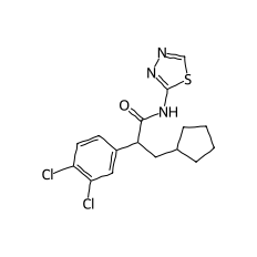 O=C(Nc1nncs1)C(CC1CCCC1)c1ccc(Cl)c(Cl)c1